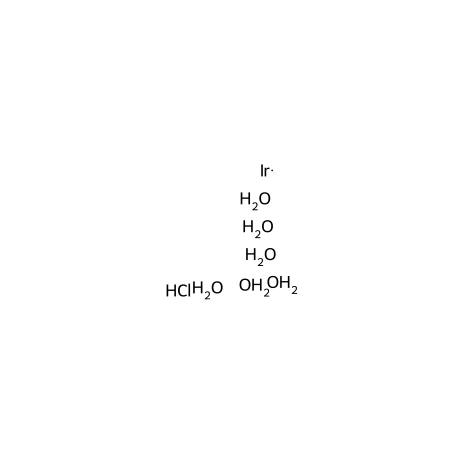 Cl.O.O.O.O.O.O.[Ir]